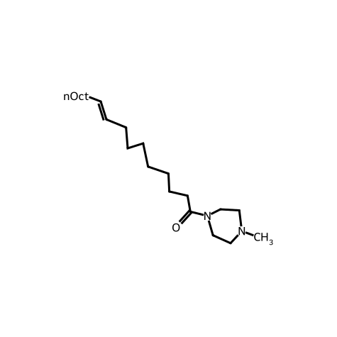 CCCCCCCCC=CCCCCCCCC(=O)N1CCN(C)CC1